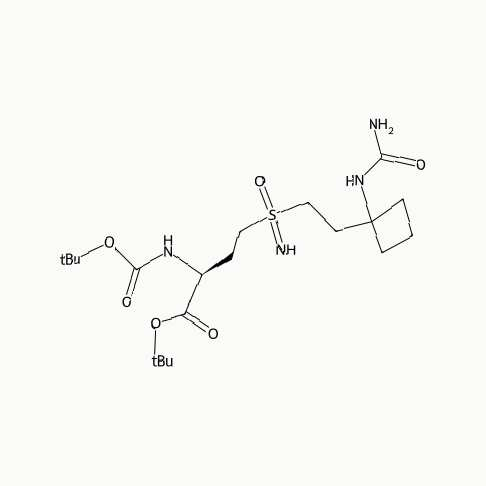 CC(C)(C)OC(=O)N[C@@H](CCS(=N)(=O)CCC1(NC(N)=O)CCC1)C(=O)OC(C)(C)C